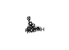 COCCc1ccc(S(=O)(=O)NC[C@@H](Oc2ccc(C(F)(F)F)cc2)C2CCNC2)cc1